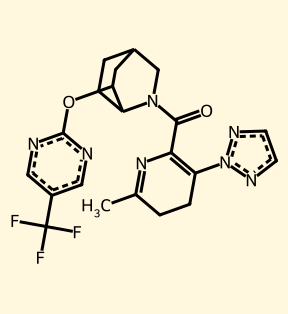 CC1=NC(C(=O)N2CC3CCC2C(Oc2ncc(C(F)(F)F)cn2)C3)=C(n2nccn2)CC1